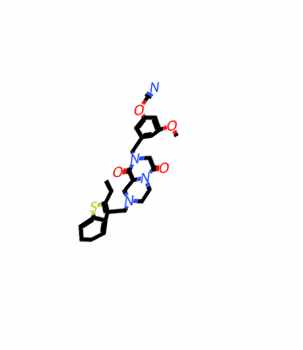 CCc1sc2c(c1CN1CCN3C(=O)CN(Cc4cc(OC)cc(OC#N)c4)C(=O)C3C1)=CCCC=2